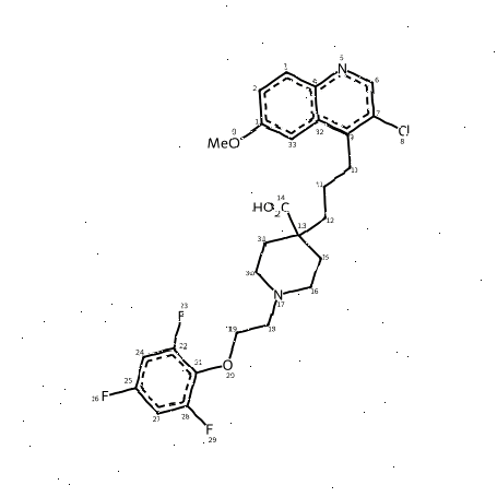 COc1ccc2ncc(Cl)c(CCCC3(C(=O)O)CCN(CCOc4c(F)cc(F)cc4F)CC3)c2c1